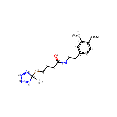 COc1ccc(CCNC(=O)CCCSC2(C)N=NN=N2)cc1OC